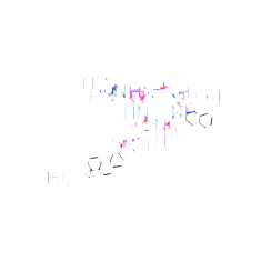 N=C(N)NCCC[C@@H]1NC(=O)[C@H](CCCCNC(=O)c2ccc(/C=C\c3ccccc3S(=O)(=O)O)cc2)NC(=O)[C@@H](Cc2ccc3ccccc3c2)NC(=O)[C@H](CC(=O)O)NC(=O)CNC1=O